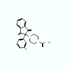 CC(C)(C)OC(=O)N1CCN(C2(c3cccc(Br)c3)C(=O)c3ccccc3C2=O)CC1